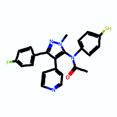 CC(=O)N(c1ccc(S)cc1)c1c(-c2ccncc2)c(-c2ccc(F)cc2)nn1C